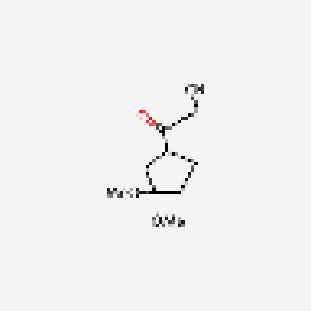 COC1(OC)CCC(C(=O)CC#N)C1